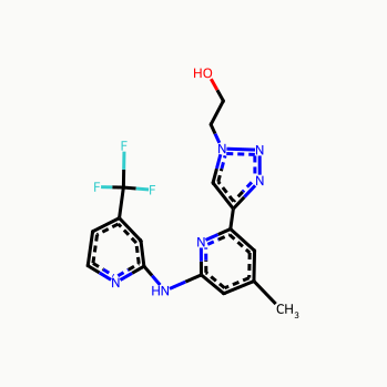 Cc1cc(Nc2cc(C(F)(F)F)ccn2)nc(-c2cn(CCO)nn2)c1